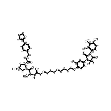 CC(C)(C)C(NC(=O)COCCCOCCCCOc1ccc(N2C(=S)N(c3ccc(C#N)c(Cl)c3F)C(=O)C2(C)C)cc1F)C(=O)N1C[C@H](O)C[C@H]1C(=O)NCc1ccc(-c2cnco2)cc1